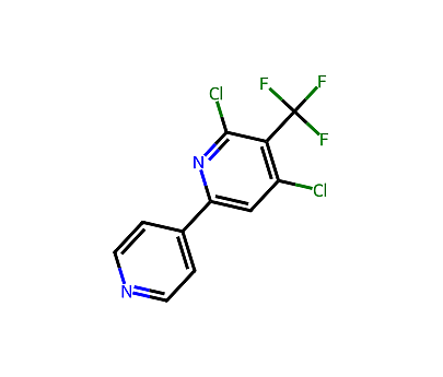 FC(F)(F)c1c(Cl)cc(-c2ccncc2)nc1Cl